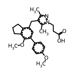 COc1ccc(-c2cc(Cc3c(C)nn(CCC(=O)O)c3C)c3c(c2OC)CCC3)cc1